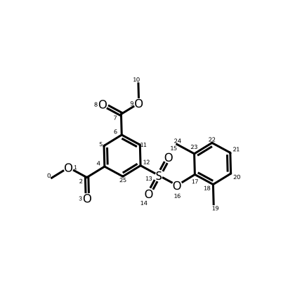 COC(=O)c1cc(C(=O)OC)cc(S(=O)(=O)Oc2c(C)cccc2C)c1